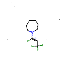 F/C(=C\C(F)(F)F)N1CCCCCC1